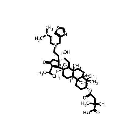 CC(C)C1=C2[C@H]3CC[C@@H]4[C@@]5(C)CC[C@H](OC(=O)CC(C)(C)C(=O)O)C(C)(C)[C@H]5CC[C@@]4(C)[C@]3(C)CC[C@@]2([C@@H](O)CN(CCN(C)C)Cc2cscn2)CC1=O